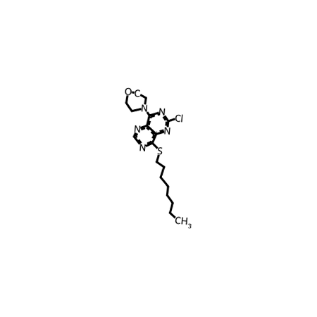 CCCCCCCCSc1ncnc2c(N3CCOCC3)nc(Cl)nc12